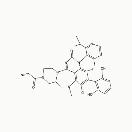 C=CC(=O)N1CCN2c3nc(=O)n(-c4c(C)ccnc4C(C)C)c4c(F)c(-c5c(O)cccc5O)c(Cl)c(c34)N(C)CC2C1